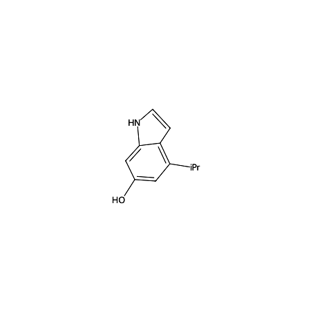 CC(C)c1cc(O)cc2[nH]ccc12